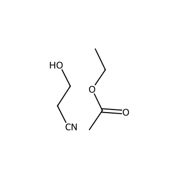 CCOC(C)=O.N#CCCO